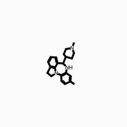 Cc1ccc2c(c1)NC(C1CCN(C)CC1)c1cccc3c1N2CC3